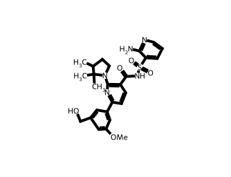 COc1cc(CO)cc(-c2ccc(C(=O)NS(=O)(=O)c3cccnc3N)c(N3CCC(C)C3(C)C)n2)c1